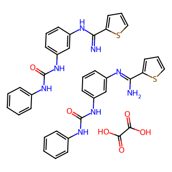 N=C(Nc1cccc(NC(=O)Nc2ccccc2)c1)c1cccs1.NC(=Nc1cccc(NC(=O)Nc2ccccc2)c1)c1cccs1.O=C(O)C(=O)O